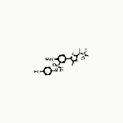 COc1ccc(-c2sc(NS(C)(=O)=O)nc2C)cc1S(=O)(=O)Nc1ccc(O)cc1